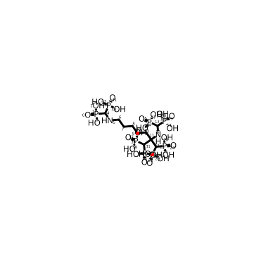 O=P(O)(O)C(NCCCCCC(NC(P(=O)(O)O)P(=O)(O)O)(C(P(=O)(O)O)P(=O)(O)O)C(P(=O)(O)O)P(=O)(O)O)P(=O)(O)O